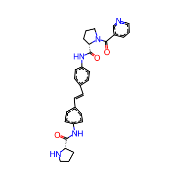 O=C(Nc1ccc(/C=C/c2ccc(NC(=O)[C@@H]3CCCN3C(=O)c3cccnc3)cc2)cc1)[C@@H]1CCCN1